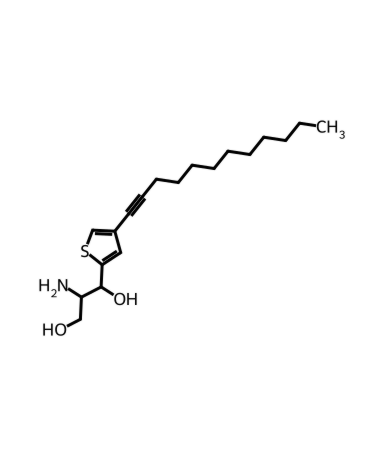 CCCCCCCCCCC#Cc1csc(C(O)C(N)CO)c1